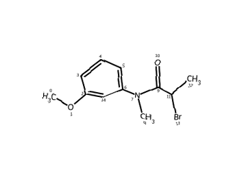 COc1cccc(N(C)C(=O)C(C)Br)c1